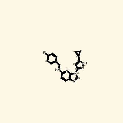 Fc1ccc(CNc2ccc3ncn(-c4cc(C5CC5)[nH]n4)c3n2)cc1